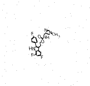 Cn1cnc(CNC(=O)OCCc2c(-c3ccc(F)cc3)[nH]c3c(F)cc(F)cc23)c1